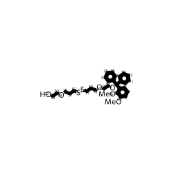 COc1cccc(C(OCCOCCCSSCCCOCCO)(c2ccccc2)c2ccccc2)c1OC